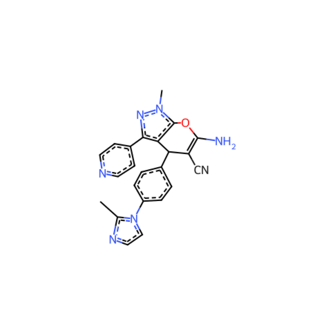 Cc1nccn1-c1ccc(C2C(C#N)=C(N)Oc3c2c(-c2ccncc2)nn3C)cc1